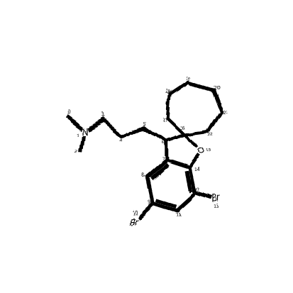 CN(C)CCCC1c2cc(Br)cc(Br)c2OC12CCCCCC2